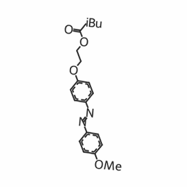 CCC(C)C(=O)OCCOc1ccc(/N=N/c2ccc(OC)cc2)cc1